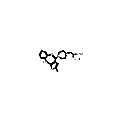 CNC(CN1CCN(C2=Nc3ccccc3Nc3sc(C)cc32)CC1)C(=O)O